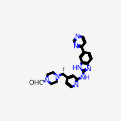 C[C@H](c1ccnc(Nc2nc3ccc(-c4ccncn4)cc3[nH]2)c1)N1CCN(C=O)CC1